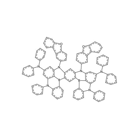 c1ccc(N(c2ccccc2)c2cc3c4c(c2)N(c2ccc5oc6ccccc6c5c2)c2cc5c(cc2B4c2ccccc2N3c2ccccc2)B2c3ccccc3N(c3ccccc3)c3cc(N(c4ccccc4)c4ccccc4)cc(c32)N5c2ccc3oc4ccccc4c3c2)cc1